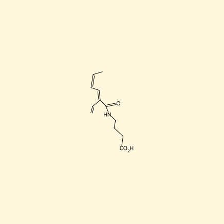 C=C/C(=C\C=C/C)C(=O)NCCCC(=O)O